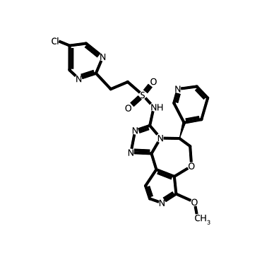 COc1nccc2c1OC[C@H](c1cccnc1)n1c(NS(=O)(=O)CCc3ncc(Cl)cn3)nnc1-2